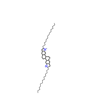 CCCCCCCCCCCCCCCc1cc2cc3ccc4c5cc6c(cc(CCCCCCCCCCCCCCC)n6C)cc5ccc4c3cc2n1C